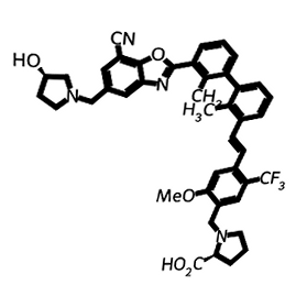 COc1cc(/C=C/c2cccc(-c3cccc(-c4nc5cc(CN6CC[C@@H](O)C6)cc(C#N)c5o4)c3C)c2C)c(C(F)(F)F)cc1CN1CCC[C@H]1C(=O)O